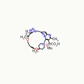 Cc1nc2cc3nn2c(c1[C@H](OC(C)(C)C)C(=O)O)N1CCC(C)(CC1)OC=CCCOC(C)(C)c1cn(nn1)C3